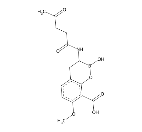 COc1ccc2c(c1C(=O)O)OB(O)C(NC(=O)CCC(C)=O)C2